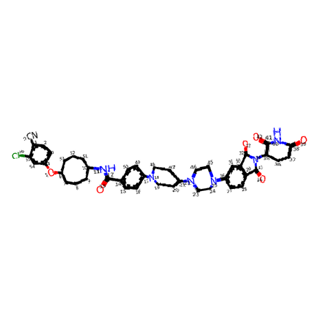 N#Cc1ccc(OC2CCCC(NC(=O)c3ccc(N4CCC(N5CCN(c6ccc7c(c6)C(=O)N(C6CCC(=O)NC6=O)C7=O)CC5)CC4)cc3)CCC2)cc1Cl